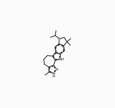 Cc1[nH]nc2c1CCCc1c-2[nH]c2cc3c(cc12)N(C(C)C)CC3(C)C